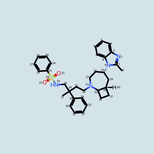 Cc1nc2ccccc2n1[C@H]1CCN(CCC(C)(CNS(=O)(=O)c2ccccc2)c2ccccc2)C2CC[C@H]2C1